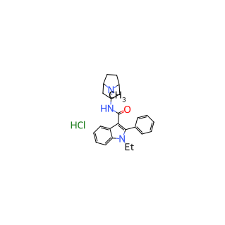 CCn1c(-c2ccccc2)c(C(=O)NC2CC3CCC(C2)N3C)c2ccccc21.Cl